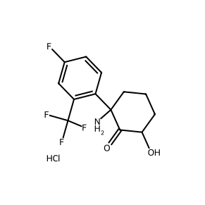 Cl.NC1(c2ccc(F)cc2C(F)(F)F)CCCC(O)C1=O